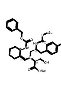 COC(=O)[C@H](CO)N(/C=C1/CCCC[C@H]1NC(=O)OCc1ccccc1)C[C@H](Cc1ccc(F)cc1)NC(=O)OC(C)(C)C